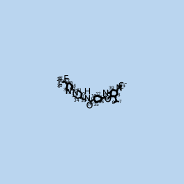 [C-]#[N+]c1cc(C(=C)C)c2oc(-c3ccc(C(=O)NCC4CCN(c5ccc(C(F)(F)F)cn5)CC4)cc3)nc2c1